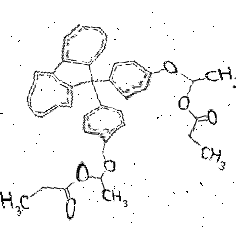 CCC(=O)OC(C)Oc1ccc(C2(c3ccc(OC(C)OC(=O)CC)cc3)c3ccccc3-c3ccccc32)cc1